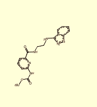 CC(C)(C)OC(=O)Nc1cccc(C(=O)NCCNc2nsc3ccccc23)n1